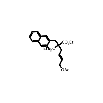 CCOC(=O)C(CC=CCOC(C)=O)(Cc1cc2ccccc2cc1I)C(=O)OCC